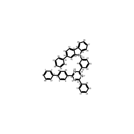 c1ccc(-c2ccc(-c3nc(-c4ccccc4)nc(-c4cccc(-n5c6ccccc6c6ccc(-c7ccccc7)cc65)c4)n3)cc2)cc1